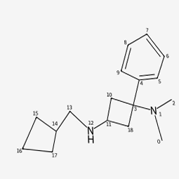 CN(C)C1(c2ccccc2)CC(NCC2CCC2)C1